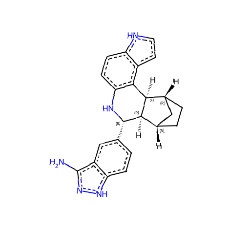 Nc1n[nH]c2ccc([C@@H]3Nc4ccc5[nH]ccc5c4[C@H]4[C@@H]5CC[C@@H](C5)[C@H]43)cc12